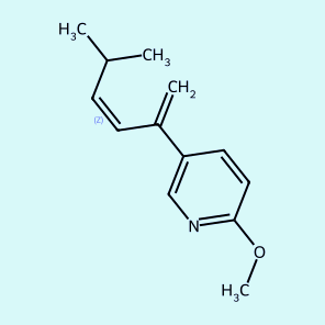 C=C(/C=C\C(C)C)c1ccc(OC)nc1